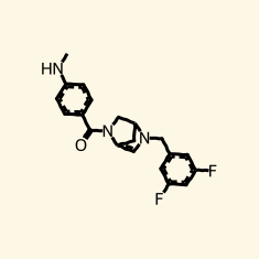 CNc1ccc(C(=O)N2CC3CC2=CN3Cc2cc(F)cc(F)c2)cc1